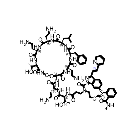 CNC(=O)c1ccccc1Sc1ccc2c(/C=C/c3ccccn3)nn(C(=O)N(CCOC=O)CCC(=O)N[C@H](C(=O)N[C@H](CCN)C(=O)N[C@H]3CCNC(=O)[C@@H]([C@@H](C)O)NC(=O)[C@@H](CCN)NC(=O)[C@@H](CCN)NC(=O)[C@@H](CC(C)C)NC(=O)[C@@H](Cc4ccccc4)NC(=O)[C@@H](CCN)NC3=O)[C@@H](C)O)c2c1